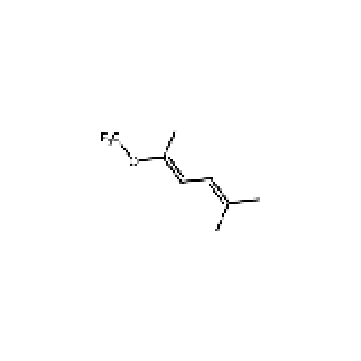 CC(C)=C/C=C(\C)OC(F)(F)F